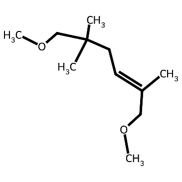 COCC(C)=CCC(C)(C)COC